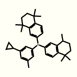 Cc1cc(C2CC2)cc(N(c2ccc3c(c2)C(C)CCC3(C)C)c2ccc3c(c2)C(C)(C)CCC3(C)C)c1